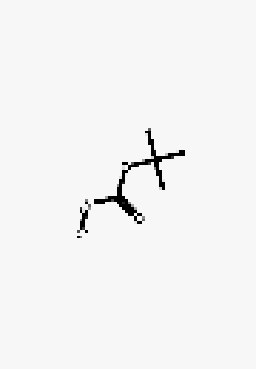 [CH2-][NH2+]C(=O)OC(C)(C)C